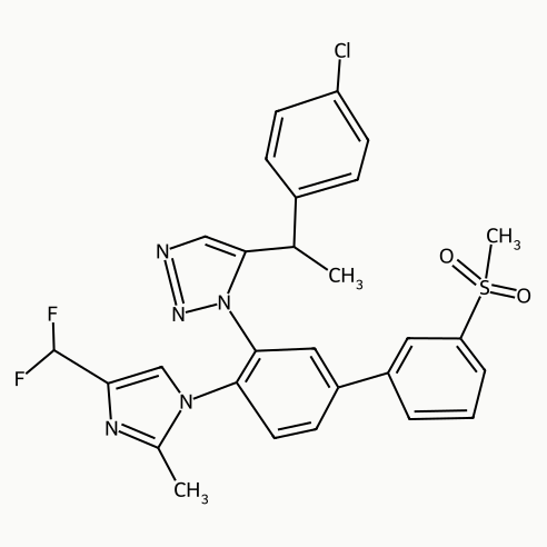 Cc1nc(C(F)F)cn1-c1ccc(-c2cccc(S(C)(=O)=O)c2)cc1-n1nncc1C(C)c1ccc(Cl)cc1